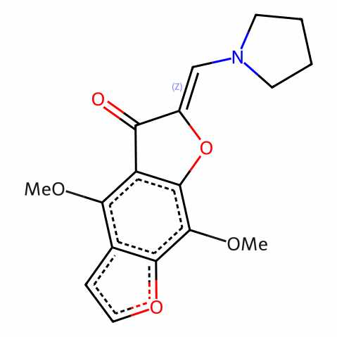 COc1c2c(c(OC)c3occc13)O/C(=C\N1CCCC1)C2=O